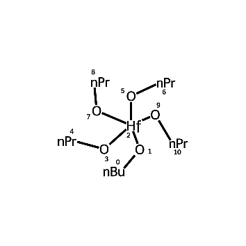 CCCC[O][Hf]([O]CCC)([O]CCC)([O]CCC)[O]CCC